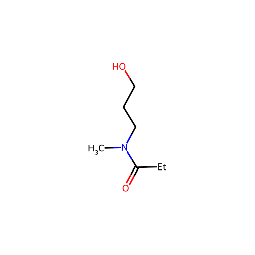 CCC(=O)N(C)CCCO